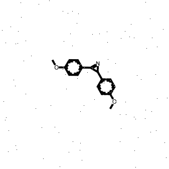 COc1ccc(C2=NC2c2ccc(OC)cc2)cc1